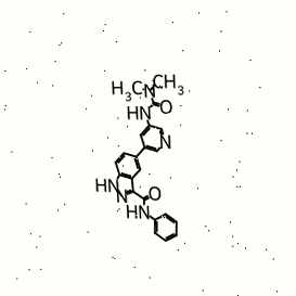 CN(C)C(=O)Nc1cncc(-c2ccc3[nH]nc(C(=O)Nc4ccccc4)c3c2)c1